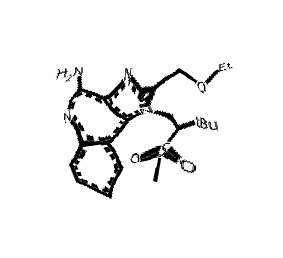 CCOCc1nc2c(N)nc3ccccc3c2n1C(C(C)(C)C)S(C)(=O)=O